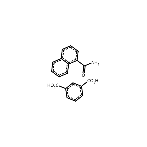 NC(=O)c1cccc2ccccc12.O=C(O)c1cccc(C(=O)O)c1